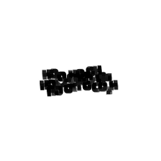 CC(C)(C)C1C(C(=O)O)OC(C(C)(C)C(C)(C)OC2C(C(=O)O)OC(O)C(O)C2O)C(O)C1O